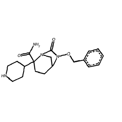 NC(=O)C1(C2CCNCC2)CCC2CN1C(=O)N2OCc1ccccc1